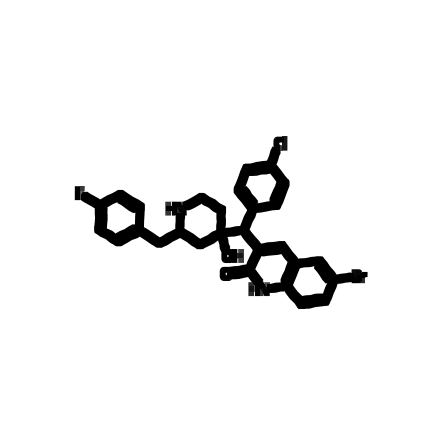 O=c1[nH]c2ccc(Br)cc2cc1C(c1ccc(Cl)cc1)C1(O)CCNC(Cc2ccc(F)cc2)C1